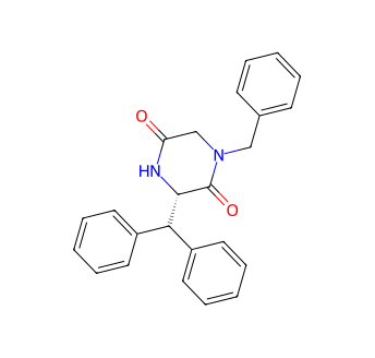 O=C1CN(Cc2ccccc2)C(=O)[C@H](C(c2ccccc2)c2ccccc2)N1